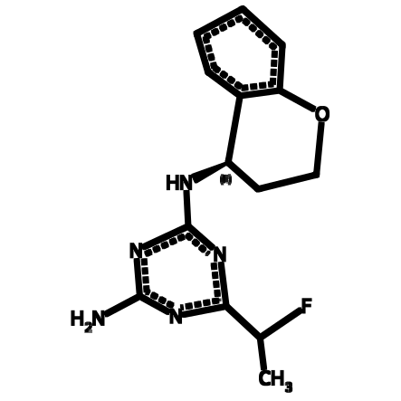 CC(F)c1nc(N)nc(N[C@@H]2CCOc3ccccc32)n1